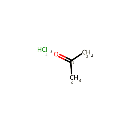 CC(C)=O.Cl